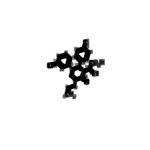 C=CC[C@H]1C[C@H](c2cccc(Cl)c2)[C@@H](c2ccc(Cl)cc2)N(C(CC)C(=O)O)C1=O